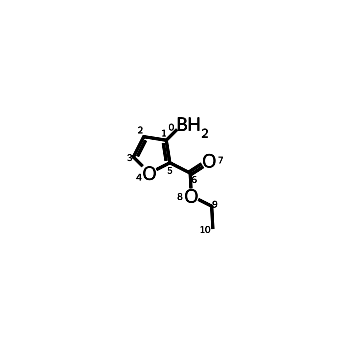 Bc1ccoc1C(=O)OCC